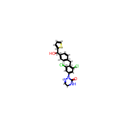 O=C1NCC=NN1c1cc(Cl)c(Cc2ccc(C(O)c3cccs3)cc2)c(Cl)c1